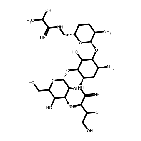 CC(O)C(=N)NC[C@@H]1CCC(N)[C@@H](OC2C(O)C(O[C@H]3OC(CO)C(O)[C@H](N)C3O)[C@H](NC(=N)C(O)C(O)CO)C[C@@H]2N)O1